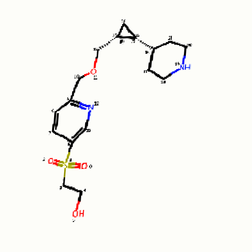 O=S(=O)(CCO)c1ccc(COC[C@@H]2C[C@@H]2C2CCNCC2)nc1